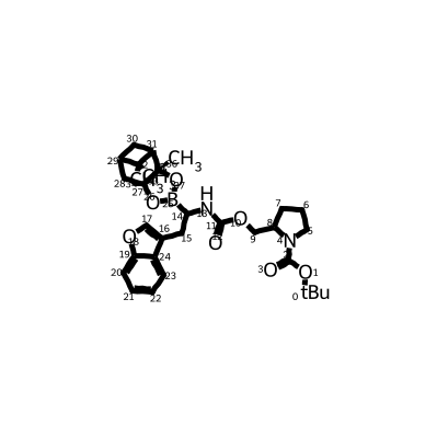 CC(C)(C)OC(=O)N1CCCC1COC(=O)NC(Cc1coc2ccccc12)B1OC2CC3CC(C3(C)C)[C@]2(C)O1